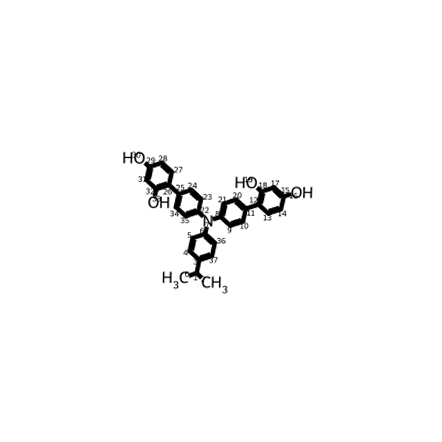 CC(C)c1ccc(N(c2ccc(-c3ccc(O)cc3O)cc2)c2ccc(-c3ccc(O)cc3O)cc2)cc1